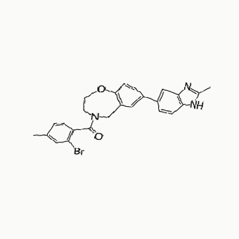 Cc1ccc(C(=O)N2CCOc3ccc(-c4ccc5[nH]c(C)nc5c4)cc3C2)c(Br)c1